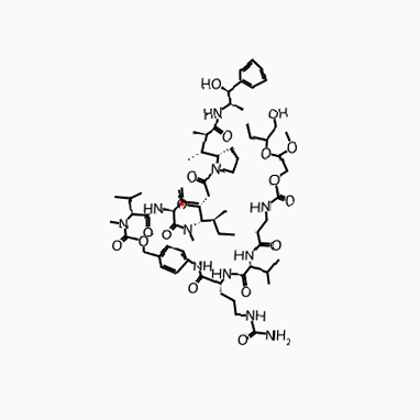 CCC(CO)OC(COC(=O)NCCC(=O)N[C@@H](C(=O)N[C@H](CCCNC(N)=O)C(=O)Nc1ccc(COC(=O)N(C)[C@H](C(=O)N[C@H](C(=O)N(C)[C@@H]([C@@H](C)CC)[C@@H](CC(=O)N2CCC[C@H]2[C@H](C)[C@@H](C)C(=O)N[C@H](C)[C@@H](O)c2ccccc2)OC)C(C)C)C(C)C)cc1)C(C)C)OC